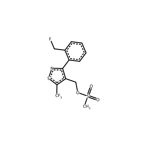 CS(=O)(=O)OCc1c(-c2ccccc2CF)nsc1C(F)(F)F